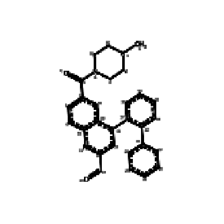 CN1CCN(C(=O)c2ccc3nc(C=O)cc(-c4ccccc4-c4ccccc4)c3c2)CC1